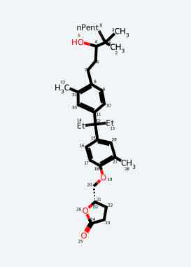 CCCCCC(C)(C)C(O)CCc1ccc(C(CC)(CC)c2ccc(OC[C@@H]3CCC(=O)O3)c(C)c2)cc1C